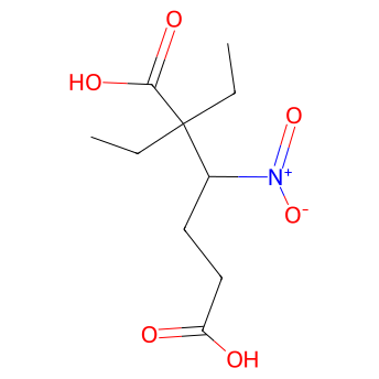 CCC(CC)(C(=O)O)C(CCC(=O)O)[N+](=O)[O-]